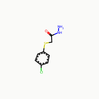 NNC(=O)CSc1ccc(Cl)cc1